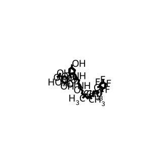 CC(C)(CCC(=O)NCCC(=O)Nc1cc(CO)ccc1O[C@@H]1O[C@H](C(=O)O)[C@@H](O)[C@H](O)[C@H]1O)CC(C)(C)CCC(=O)Oc1c(F)c(F)c(F)c(F)c1F